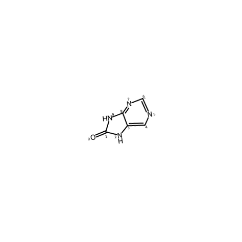 O=c1[nH]c2cn[c]nc2[nH]1